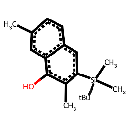 Cc1ccc2cc([Si](C)(C)C(C)(C)C)c(C)c(O)c2c1